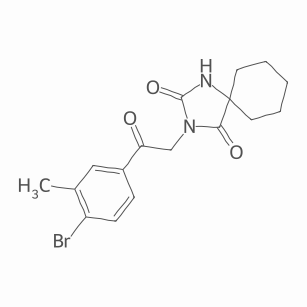 Cc1cc(C(=O)CN2C(=O)NC3(CCCCC3)C2=O)ccc1Br